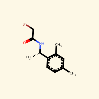 Cc1ccc([C@H](C)NC(=O)CBr)c(C)c1